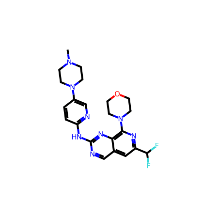 CN1CCN(c2ccc(Nc3ncc4cc(C(F)F)nc(N5CCOCC5)c4n3)nc2)CC1